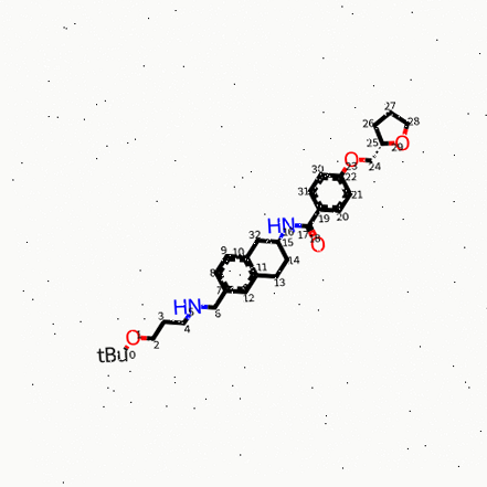 CC(C)(C)OCCCNCc1ccc2c(c1)CC[C@H](NC(=O)c1ccc(OC[C@@H]3CCCO3)cc1)C2